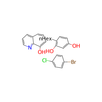 CCCCCCc1ccc(O)cc1O.Clc1ccc(Br)cc1.Oc1cccc2cccnc12